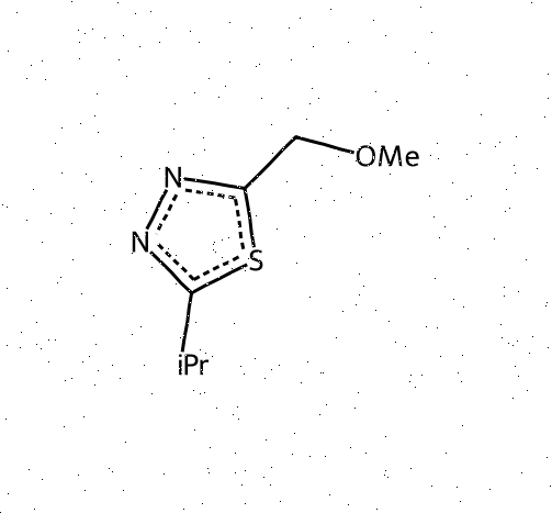 COCc1nnc(C(C)C)s1